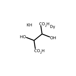 O=C(O)C(O)C(O)C(=O)O.[Dy].[KH]